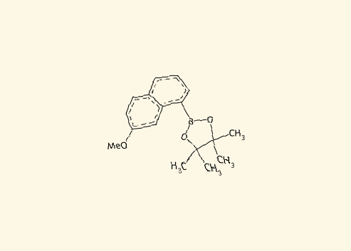 COc1ccc2cccc(B3OC(C)(C)C(C)(C)O3)c2c1